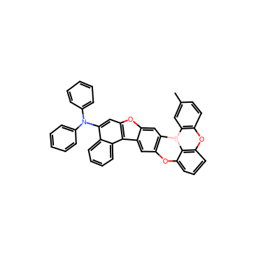 Cc1ccc2c(c1)B1c3cc4oc5cc(N(c6ccccc6)c6ccccc6)c6ccccc6c5c4cc3Oc3cccc(c31)O2